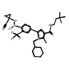 Cc1c(C(=O)NCCC(C)(C)C)cc(-c2ccc([S+]([O-])NC3(C#N)CC3)c(C(F)(F)F)c2)n1CC1CCCCC1